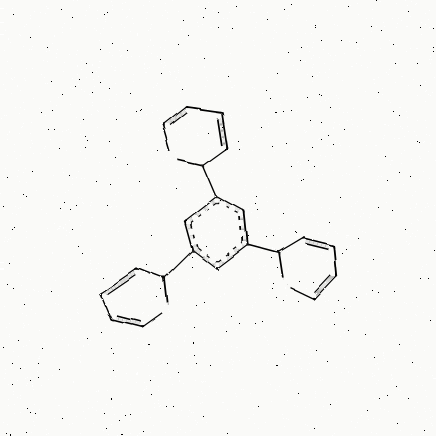 C1=COC(c2cc(C3C=CC=CO3)cc(C3C=CC=CO3)c2)C=C1